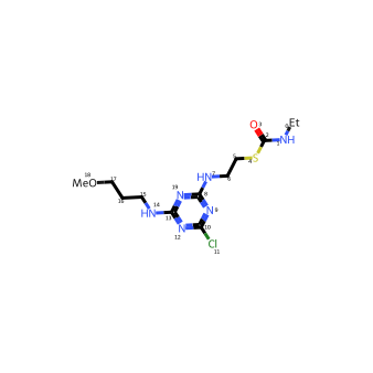 CCNC(=O)SCCNc1nc(Cl)nc(NCCCOC)n1